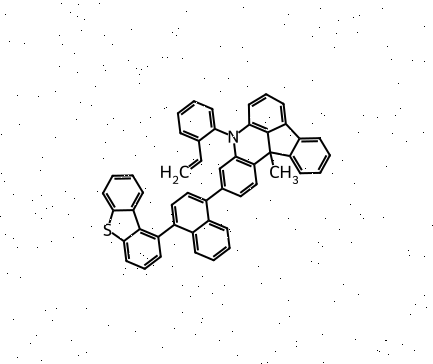 C=Cc1ccccc1N1c2cc(-c3ccc(-c4cccc5sc6ccccc6c45)c4ccccc34)ccc2C2(C)c3ccccc3-c3cccc1c32